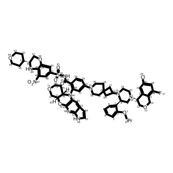 CC(C)Oc1ccccc1[C@@H]1CN([C@H]2COCc3c(F)cc(Cl)cc32)CCN1C1CC2(CCN(c3ccc(C(=O)NS(=O)(=O)c4cc5c(c([N+](=O)[O-])c4)N[C@H](C4CCOCC4)CO5)c(N4c5cc6cc[nH]c6nc5O[C@H]5COCC[C@@H]54)c3)CC2)C1